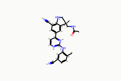 CC(=O)NC[C@@]1(C)CNc2c(C#N)cc(-c3ccnc(Nc4cc(C#N)ccc4C)n3)cc21